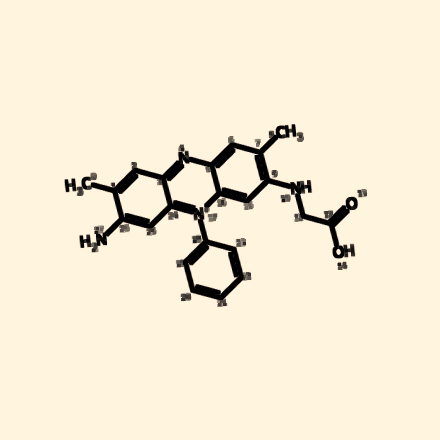 Cc1cc2nc3cc(C)c(NCC(=O)O)cc3[n+](-c3ccccc3)c2cc1N